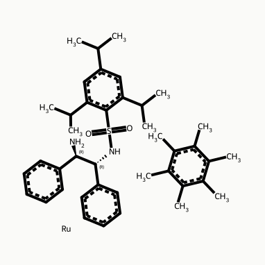 CC(C)c1cc(C(C)C)c(S(=O)(=O)N[C@H](c2ccccc2)[C@H](N)c2ccccc2)c(C(C)C)c1.Cc1c(C)c(C)c(C)c(C)c1C.[Ru]